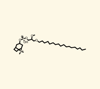 CCCCCCCCCCCCCCCCCCOCC(COP(=O)(O)OC1CC2CCC23C(C1)[N+]3(C)C)OC